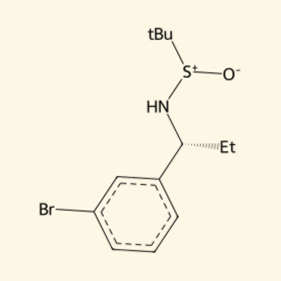 CC[C@@H](N[S+]([O-])C(C)(C)C)c1cccc(Br)c1